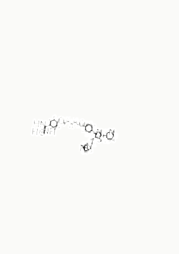 N=C(NO)c1ccc(OCCCCCOc2ccc(-c3nc(-c4cccnc4)sc3CCn3ccnc3)cc2)cc1